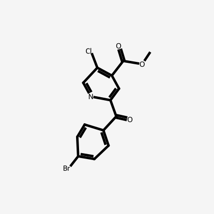 COC(=O)c1cc(C(=O)c2ccc(Br)cc2)ncc1Cl